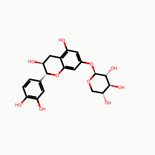 Oc1ccc([C@H]2Oc3cc(O[C@@H]4OC[C@@H](O)[C@H](O)[C@H]4O)cc(O)c3C[C@@H]2O)cc1O